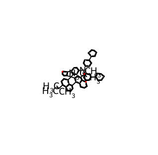 CC(C)(C)c1cc2c(c3ccccc13)-c1cccc3c(C(C)(C)C)ccc(c13)C21c2ccccc2-c2ccc(N(c3ccc(-c4ccccc4)cc3)c3cccc(-c4ccccc4)c3)cc21